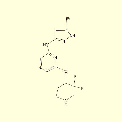 CC(C)c1cc(Nc2cncc(OC3CCNCC3(F)F)n2)n[nH]1